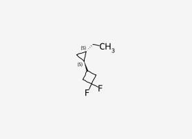 CC[C@H]1C[C@@H]1C1CC(F)(F)C1